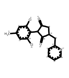 Cc1cc(Cl)c(C2C(=O)CC(Cc3ccccn3)C2=O)c(Cl)c1